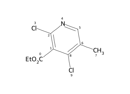 CCOC(=O)c1c(Cl)ncc(C)c1Cl